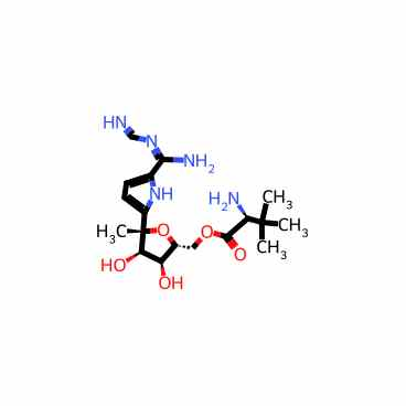 CC(C)(C)[C@H](N)C(=O)OC[C@H]1O[C@@](C)(c2ccc(/C(N)=N\C=N)[nH]2)[C@H](O)[C@@H]1O